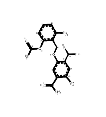 C=C(C)c1cc(OCc2c(C)cccc2OC(=O)CC)c(C(F)F)cc1CC